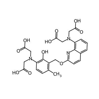 Cc1ccc(N(CC(=O)O)CC(=O)O)c(O)c1COc1ccc2cccc(N(CC(=O)O)CC(=O)O)c2n1